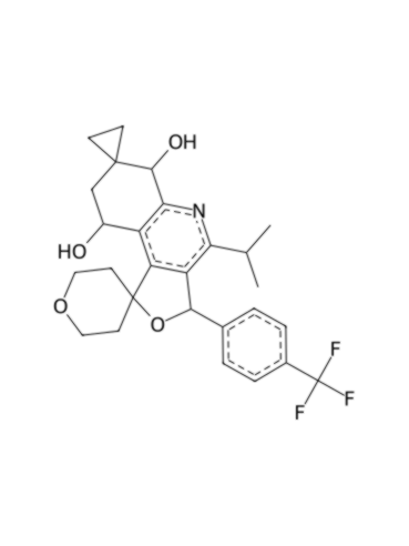 CC(C)c1nc2c(c3c1C(c1ccc(C(F)(F)F)cc1)OC31CCOCC1)C(O)CC1(CC1)C2O